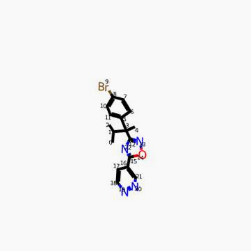 CC(C)C(C)(c1ccc(Br)cc1)c1noc(-c2ccnnc2)n1